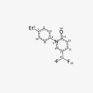 CCc1ccc(-n2cc(C(F)F)ccc2=O)cc1